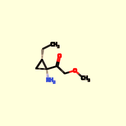 CC[C@H]1C[C@]1(N)C(=O)COC